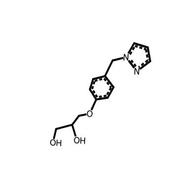 OCC(O)COc1ccc(Cn2cccn2)cc1